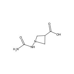 NC(=O)NN1CC(C(=O)O)C1